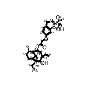 C=C[C@]1(C)C[C@@H](OC(=O)COc2ccc3c(c2)B(O)N(S(C)(=O)=O)N=C3)[C@]2(C)[C@H](C)CC[C@@](CCC(C)=O)([C@H]2C)[C@@H](C)[C@@H]1O